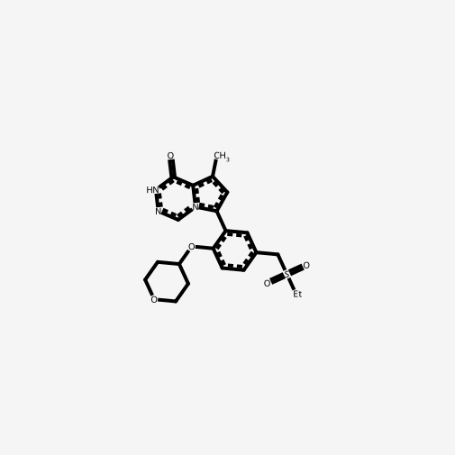 CCS(=O)(=O)Cc1ccc(OC2CCOCC2)c(-c2cc(C)c3c(=O)[nH]ncn23)c1